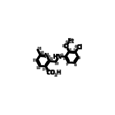 CCOc1c(Cl)cccc1NCc1nc(C)ccc1C(=O)O